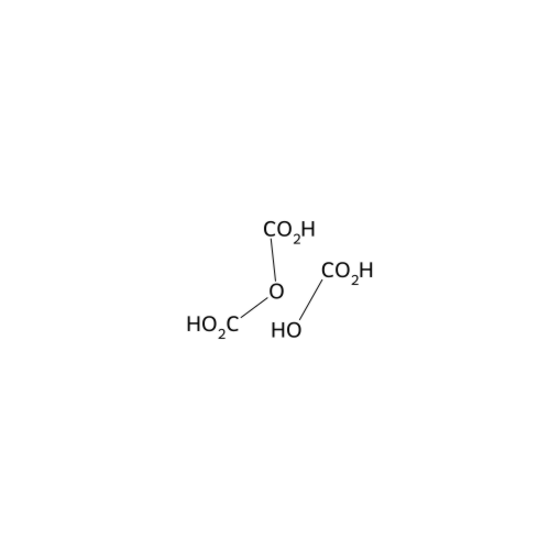 O=C(O)O.O=C(O)OC(=O)O